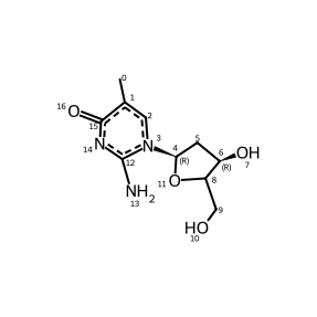 Cc1cn([C@H]2C[C@@H](O)C(CO)O2)c(N)nc1=O